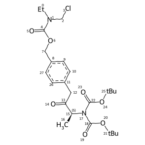 CCN(CCl)C(=O)OCc1ccc(CC(=O)[C@H](C)N(C(=O)OC(C)(C)C)C(=O)OC(C)(C)C)cc1